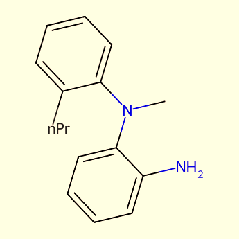 CCCc1ccccc1N(C)c1ccccc1N